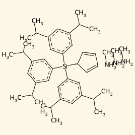 CC(C)c1cc(C(C)C)cc([Si]([C]2C=CC=C2)(c2cc(C(C)C)cc(C(C)C)c2)c2cc(C(C)C)cc(C(C)C)c2)c1.CN.CN.CN